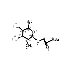 CC[C@H]1O[C@@H](OCC(=O)C(C)(C)C)[C@H](C)[C@@H](O)[C@H]1O